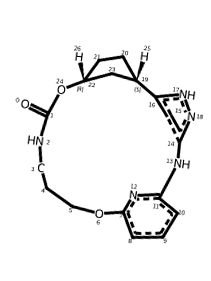 O=C1NCCCOc2cccc(n2)Nc2cc([nH]n2)[C@H]2CC[C@H](C2)O1